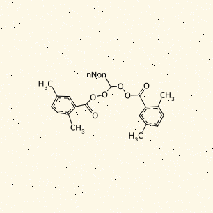 [CH2]CCCCCCCC[C](OOC(=O)c1cc(C)ccc1C)OOC(=O)c1cc(C)ccc1C